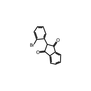 O=C1c2ccccc2C(=O)C1c1ccccc1Br